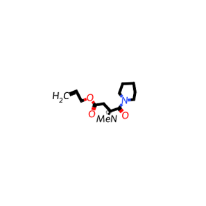 C=CCOC(=O)C[C@H](NC)C(=O)N1CCCCC1